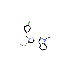 Cn1cc(-c2cc(C(=O)O)n(Cc3ccc(Cl)cc3)n2)c2ccccc21